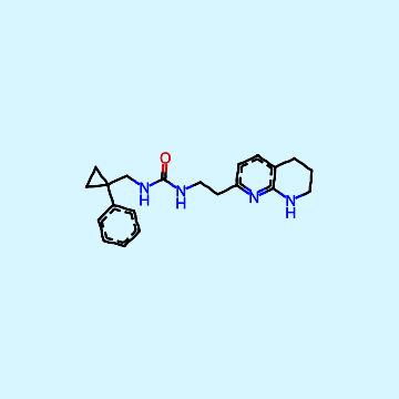 O=C(NCCc1ccc2c(n1)NCCC2)NCC1(c2ccccc2)CC1